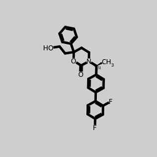 C[C@@H](c1ccc(-c2ccc(F)cc2F)cc1)N1CCC(CCO)(c2ccccc2)OC1=O